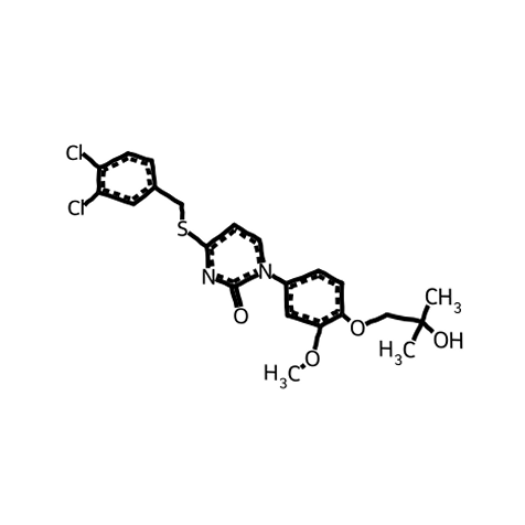 COc1cc(-n2ccc(SCc3ccc(Cl)c(Cl)c3)nc2=O)ccc1OCC(C)(C)O